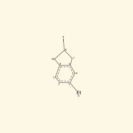 CCc1ccc2c(c1)CC(I)C2